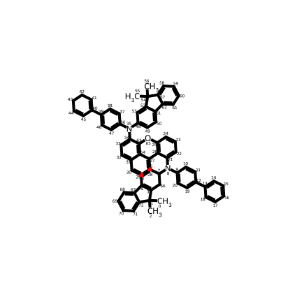 CC1(C)C2=C(C=CC(N(c3ccc(-c4ccccc4)cc3)c3cccc4c3-c3cccc5ccc(N(c6ccc(C7=CCCC=C7)cc6)c6ccc7c(c6)C(C)(C)c6ccccc6-7)c(c35)O4)C2)c2ccccc21